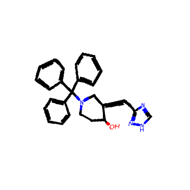 OC1CCN(C(c2ccccc2)(c2ccccc2)c2ccccc2)CC1=Cc1nc[nH]n1